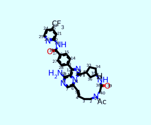 CC(=O)N1CC/C=C/c2cnc(N)c3c(-c4ccc(C(=O)Nc5cc(C(F)(F)F)ccn5)cc4)nc(n23)[C@@H]2CC[C@H](C2)NC(=O)C1